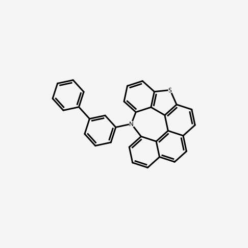 c1ccc(-c2cccc(-n3c4cccc5ccc6ccc7sc8cccc3c8c7c6c54)c2)cc1